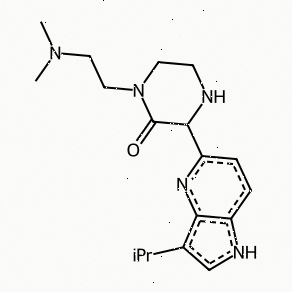 CC(C)c1c[nH]c2ccc(C3NCCN(CCN(C)C)C3=O)nc12